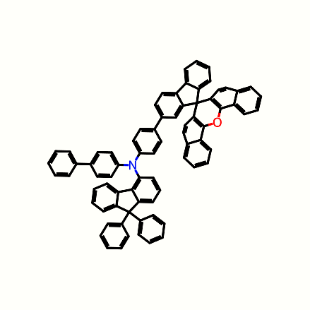 c1ccc(-c2ccc(N(c3ccc(-c4ccc5c(c4)C4(c6ccccc6-5)c5ccc6ccccc6c5Oc5c4ccc4ccccc54)cc3)c3cccc4c3-c3ccccc3C4(c3ccccc3)c3ccccc3)cc2)cc1